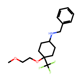 COCCOC1(C(F)(F)F)CCC(NCc2ccccc2)CC1